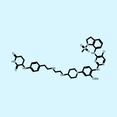 COc1cc(N2CCC(NCCNCCc3ccc(NC4CCC(=O)NC4=O)cc3)CC2)ccc1Nc1ncc(Cl)c(Nc2cccc3c2N(S(C)(=O)=O)CC3)n1